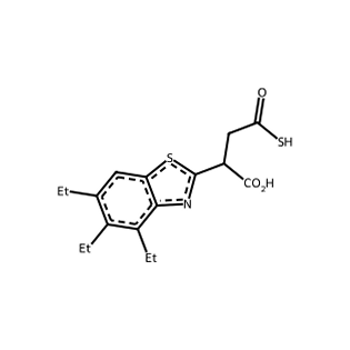 CCc1cc2sc(C(CC(=O)S)C(=O)O)nc2c(CC)c1CC